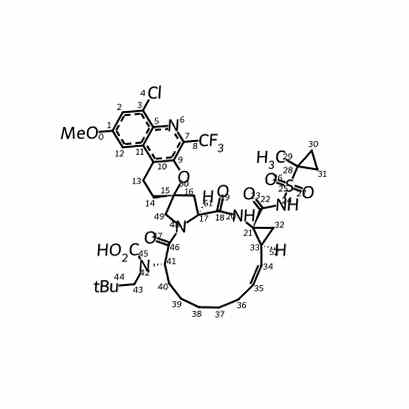 COc1cc(Cl)c2nc(C(F)(F)F)c3c(c2c1)CC[C@]1(C[C@H]2C(=O)N[C@]4(C(=O)NS(=O)(=O)C5(C)CC5)C[C@H]4/C=C\CCCCC[C@H](N(CC(C)(C)C)C(=O)O)C(=O)N2C1)O3